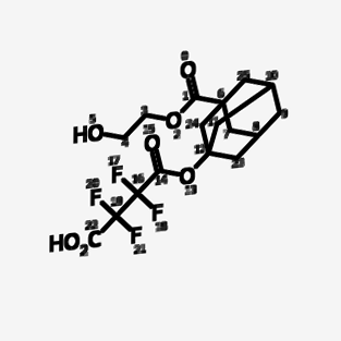 O=C(OCCO)C12CC3CC(CC(OC(=O)C(F)(F)C(F)(F)C(=O)O)(C3)C1)C2